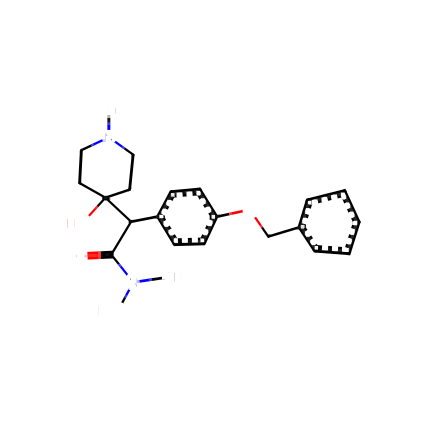 CCN1CCC(O)(C(C(=O)N(C)C)c2ccc(OCc3ccccc3)cc2)CC1